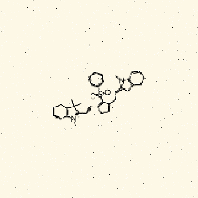 CN1C2=C(CCC=C2)C/C1=C\CC1CCC(/C=C/C2=[N+](C)C3=C(CCC=C3)C2(C)C)=C1S(=O)(=O)c1ccccc1